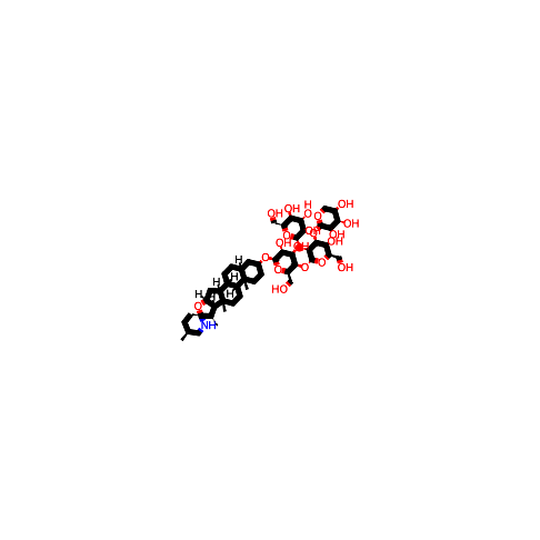 C[C@H]1CC[C@]2(NC1)O[C@H]1C[C@H]3[C@@H]4CC[C@H]5C[C@@H](O[C@@H]6O[C@H](CO)[C@H](O[C@H]7O[C@H](CO)[C@@H](O)[C@H](OC8OC[C@@H](O)[C@H](O)[C@H]8O)[C@H]7O[C@@H]7O[C@H](CO)[C@@H](O)[C@H](O)[C@H]7O)[C@H](O)[C@H]6O)CC[C@]5(C)[C@H]4CC[C@]3(C)[C@H]1[C@@H]2C